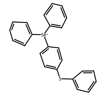 c1ccc(Sc2ccc([Se+](c3ccccc3)c3ccccc3)cc2)cc1